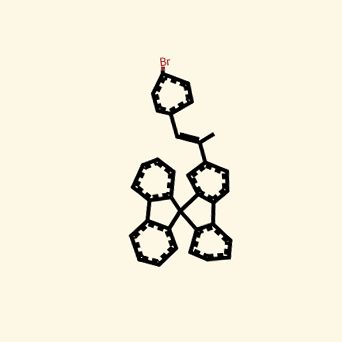 CC(=Cc1ccc(Br)cc1)c1ccc2c(c1)C1(c3ccccc3-c3ccccc31)c1ccccc1-2